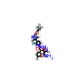 Cc1noc(C(C(=O)Nc2ccc(-c3c(C)nn(COCC[Si](C)(C)C)c3C)c(F)n2)C2CCC(C)CC2)c1C(N)=O